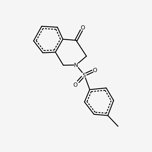 Cc1ccc(S(=O)(=O)N2CC(=O)c3ccccc3C2)cc1